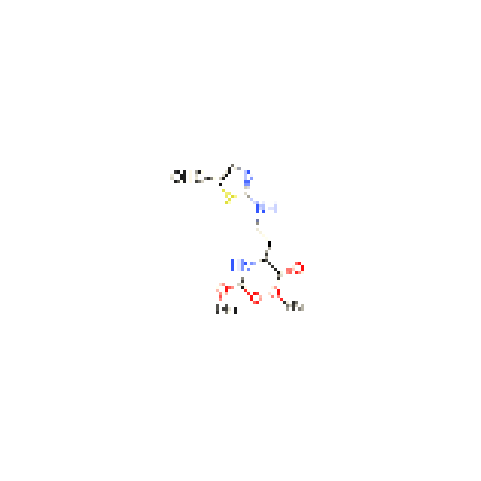 CC(C)(C)OC(=O)N[C@@H](CCNc1ncc(C=O)s1)C(=O)OC(C)(C)C